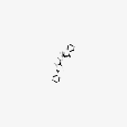 CC(OC(=O)c1ccccc1)C(C)C(CC(F)(F)F)OC(=O)C(=O)c1ccccc1